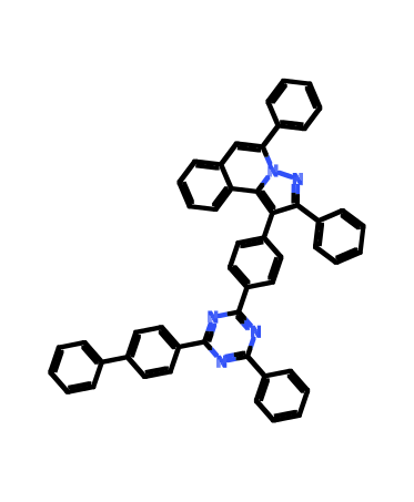 c1ccc(-c2ccc(-c3nc(-c4ccccc4)nc(-c4ccc(-c5c(-c6ccccc6)nn6c(-c7ccccc7)cc7ccccc7c56)cc4)n3)cc2)cc1